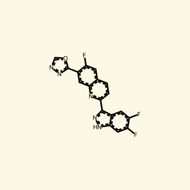 Fc1cc2[nH]nc(-c3ccc4cc(F)c(-c5nnco5)cc4n3)c2cc1F